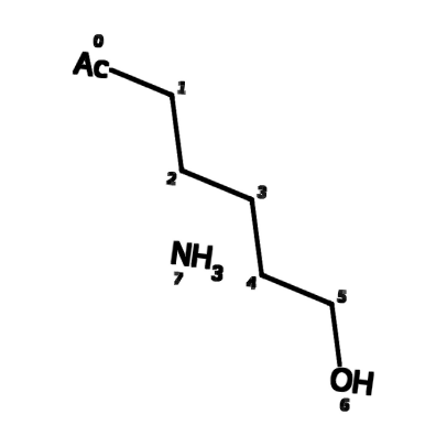 CC(=O)CCCCCO.N